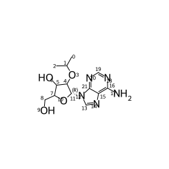 CC(C)OC1C(O)C(CO)O[C@H]1n1cnc2c(N)ncnc21